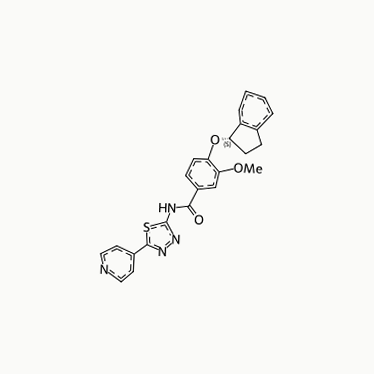 COc1cc(C(=O)Nc2nnc(-c3ccncc3)s2)ccc1O[C@H]1CCc2ccccc21